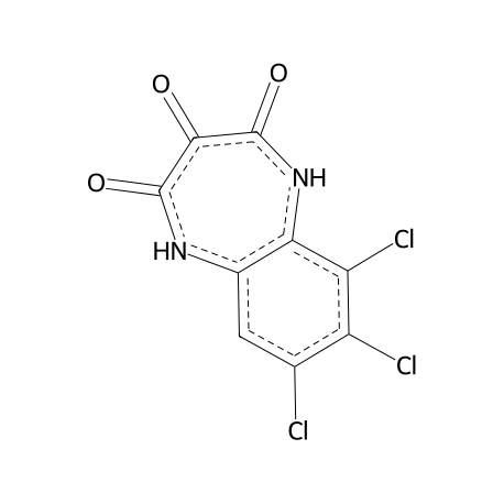 O=c1[nH]c2cc(Cl)c(Cl)c(Cl)c2[nH]c(=O)c1=O